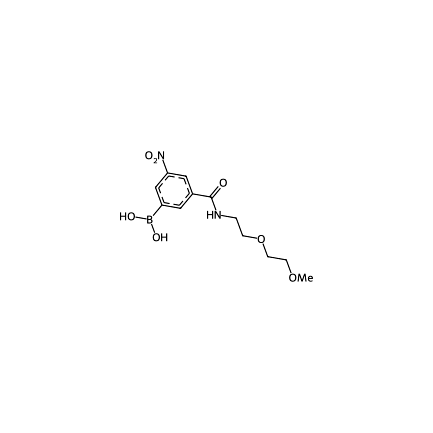 COCCOCCNC(=O)c1cc(B(O)O)cc([N+](=O)[O-])c1